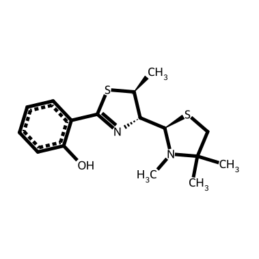 C[C@@H]1SC(c2ccccc2O)=N[C@H]1[C@H]1SCC(C)(C)N1C